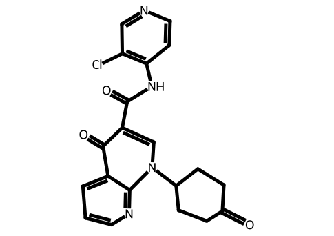 O=C1CCC(n2cc(C(=O)Nc3ccncc3Cl)c(=O)c3cccnc32)CC1